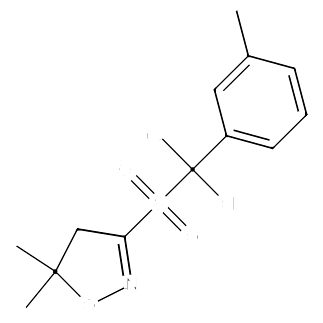 Cc1cccc(C(Cl)(Cl)S(=O)(=O)C2=NOC(C)(C)C2)c1